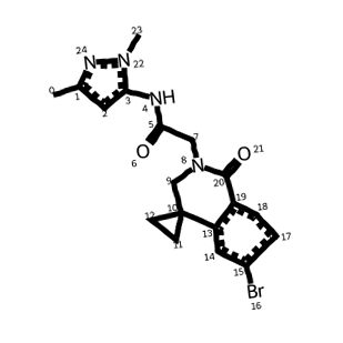 Cc1cc(NC(=O)CN2CC3(CC3)c3cc(Br)ccc3C2=O)n(C)n1